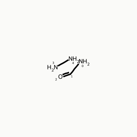 NC=O.NN